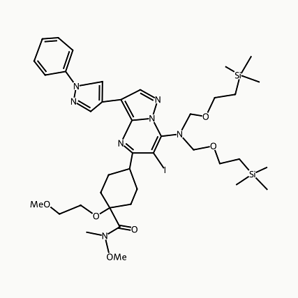 COCCOC1(C(=O)N(C)OC)CCC(c2nc3c(-c4cnn(-c5ccccc5)c4)cnn3c(N(COCC[Si](C)(C)C)COCC[Si](C)(C)C)c2I)CC1